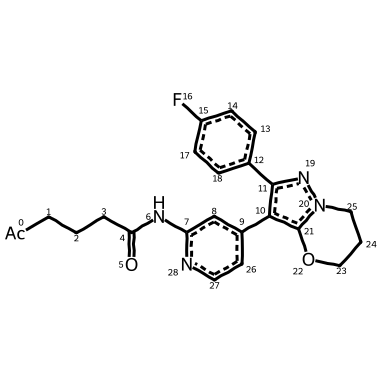 CC(=O)CCCC(=O)Nc1cc(-c2c(-c3ccc(F)cc3)nn3c2OCCC3)ccn1